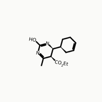 CCOC(=O)[C@H]1C(C)=NC(O)=N[C@H]1[C@@H]1CC=CCC1